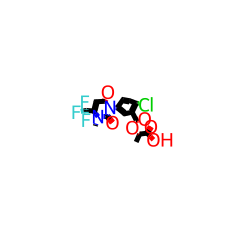 CC(OC(=O)c1cc(-n2c(=O)cc(C(F)(F)F)n(C)c2=O)ccc1Cl)C(=O)O